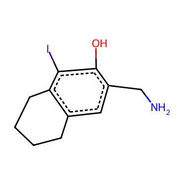 NCc1cc2c(c(I)c1O)CCCC2